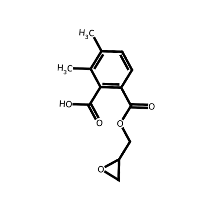 Cc1ccc(C(=O)OCC2CO2)c(C(=O)O)c1C